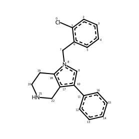 Clc1ccccc1Cn1cc(-c2ccccc2)c2c1CCNC2